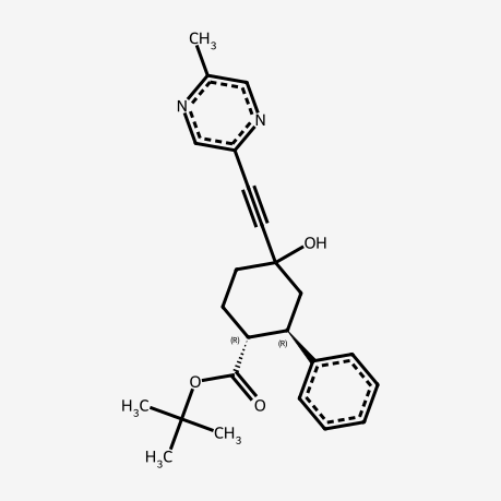 Cc1cnc(C#CC2(O)CC[C@@H](C(=O)OC(C)(C)C)[C@H](c3ccccc3)C2)cn1